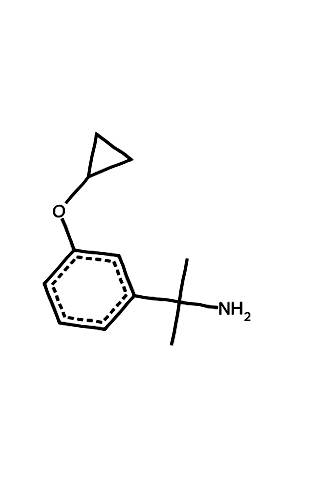 CC(C)(N)c1cccc(OC2CC2)c1